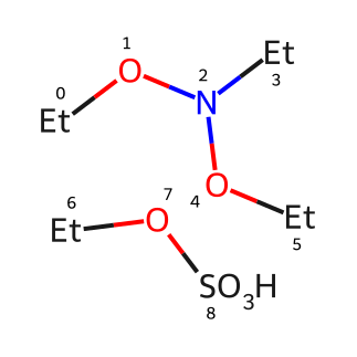 CCON(CC)OCC.CCOS(=O)(=O)O